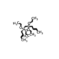 CC=CC[Si](C[Si](CC=CC)(OCC)OCC)(OCC)OCC